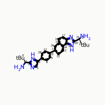 CC(C)(C)[C@H](N)c1ncc(-c2ccc(-c3ccc4c(ccc5nc([C@@H](N)C(C)(C)C)[nH]c54)c3)cc2)[nH]1